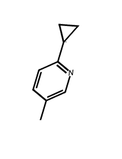 Cc1ccc([C]2CC2)nc1